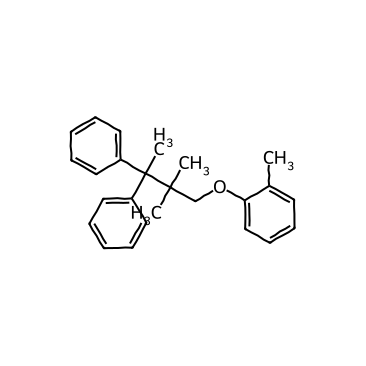 Cc1ccccc1OCC(C)(C)C(C)(c1ccccc1)c1ccccc1